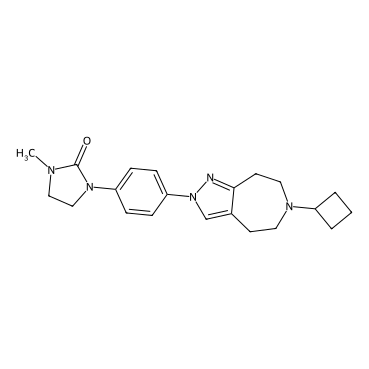 CN1CCN(c2ccc(-n3cc4c(n3)CCN(C3CCC3)CC4)cc2)C1=O